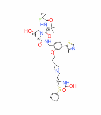 Cc1ncsc1-c1ccc(CNC(=O)[C@@H]2C[C@@H](O)CN2C(=O)[C@@H](NC(=O)C2(F)CC2)C(C)(C)C)c(OCCC2CN(CC[C@H](CSc3ccccc3)NC(=O)O)C2)c1